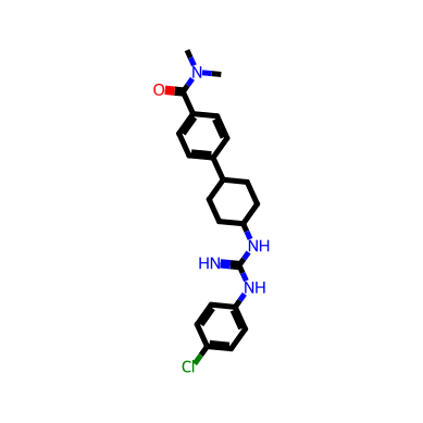 CN(C)C(=O)c1ccc(C2CCC(NC(=N)Nc3ccc(Cl)cc3)CC2)cc1